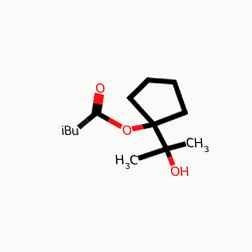 CCC(C)C(=O)OC1(C(C)(C)O)CCCC1